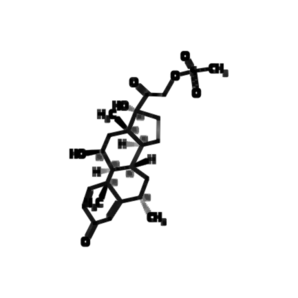 C[C@H]1C[C@@H]2[C@H]([C@@H](O)C[C@@]3(C)[C@H]2CC[C@]3(O)C(=O)COS(C)(=O)=O)[C@@]2(C)C=CC(=O)C=C12